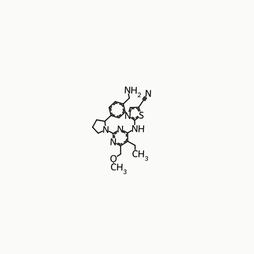 CCc1c(COC)nc(N2CCCC2c2ccc(CN)cc2)nc1Nc1ncc(C#N)s1